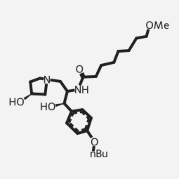 CCCCOc1ccc([C@@H](O)C(CN2CC[C@H](O)C2)NC(=O)CCCCCCCOC)cc1